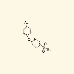 CCS(=O)(=O)c1ccc(Oc2ccc(C(C)=O)cc2)nc1